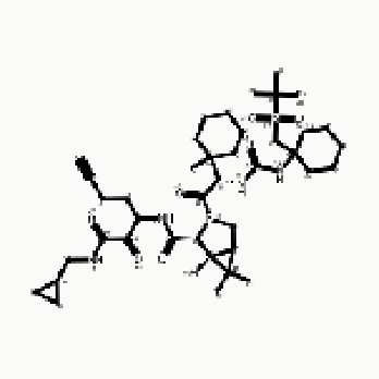 C#CCCC(NC(=O)[C@@H]1[C@@H]2C(CN1C(=O)[C@@H](NC(=O)NC1(CS(=O)(=O)C(C)(C)CC)CCCCC1)C1(C)CCCCC1)C2(C)C)C(=O)C(=O)NCC1CC1